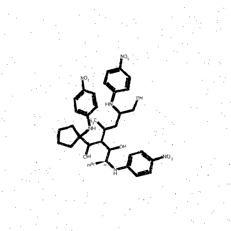 CCC[C@H](Nc1ccc([N+](=O)[O-])cc1)C(O)C(C(C)CC(CO)Nc1ccc([N+](=O)[O-])cc1)C(O)C1(Nc2ccc([N+](=O)[O-])cc2)CCCC1